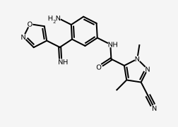 Cc1c(C#N)nn(C)c1C(=O)Nc1ccc(N)c(C(=N)c2cnoc2)c1